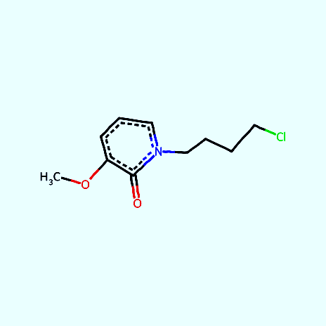 COc1cccn(CCCCCl)c1=O